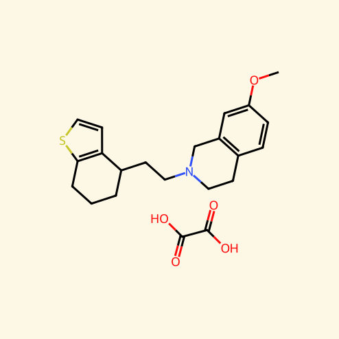 COc1ccc2c(c1)CN(CCC1CCCc3sccc31)CC2.O=C(O)C(=O)O